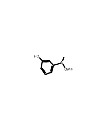 CON(C)c1cccc(O)c1